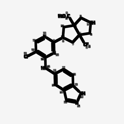 CCOC(=O)C12CNCC1(C(F)(F)F)CN(c1ncc(Cl)c(Nc3ccc4[nH]ncc4c3)n1)C2